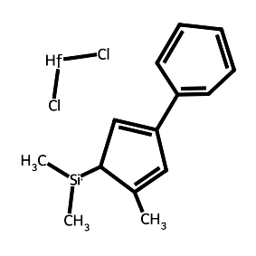 CC1=CC(c2ccccc2)=CC1[Si](C)C.[Cl][Hf][Cl]